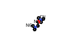 N#CC1=CC2c3ccccc3N(c3cccc(-c4ccc(C5=C(n6c7c(c8ccccc86)C=CCC7C#N)C(C#N)CC=C5)cc4)c3)C2C=C1